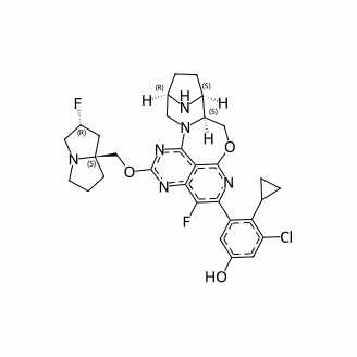 Oc1cc(Cl)c(C2CC2)c(-c2nc3c4c(nc(OC[C@@]56CCCN5C[C@H](F)C6)nc4c2F)N2C[C@H]4CC[C@H](N4)[C@H]2CO3)c1